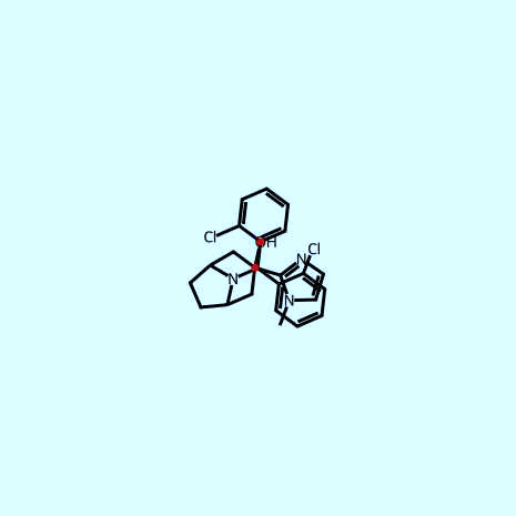 Cn1ccnc1C1(O)CC2CCC(C1)N2C(c1ccccc1Cl)c1ccccc1Cl